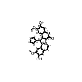 COc1cc2c(cc1O)C=CN1c3c(c4cc(OC)c(O)cc4oc3=O)C(c3ccsc3)C21